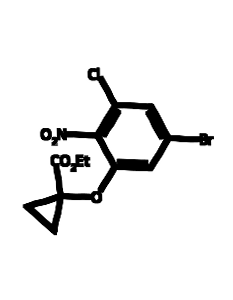 CCOC(=O)C1(Oc2cc(Br)cc(Cl)c2[N+](=O)[O-])CC1